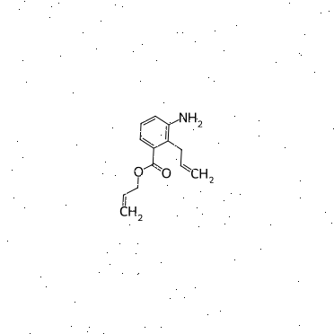 C=CCOC(=O)c1cccc(N)c1CC=C